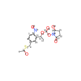 CC(=O)SCc1ccc(N=O)c(C(C)OC(=O)ON2C(=O)CCC2=O)c1